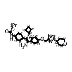 CC(C)OC(=O)Nc1ccc(-c2c(N)c3ccc(OCc4nnn(C5CCOCC5)n4)cc3n2C2CCC2)cc1